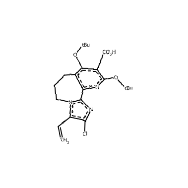 C=Cc1c(Cl)nc2n1CCCc1c-2nc(OC(C)(C)C)c(C(=O)O)c1OC(C)(C)C